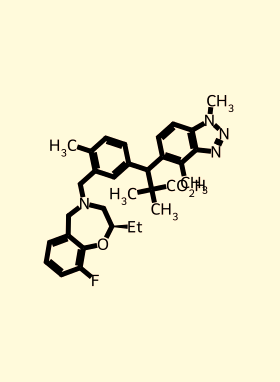 CC[C@@H]1CN(Cc2cc(C(c3ccc4c(nnn4C)c3C)C(C)(C)C(=O)O)ccc2C)Cc2cccc(F)c2O1